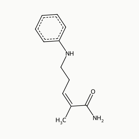 CC(=CCCNc1ccccc1)C(N)=O